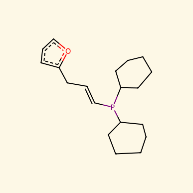 C(=CP(C1CCCCC1)C1CCCCC1)Cc1ccco1